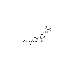 COC(=S)NC[C@H]1CN(c2ccc(NCCO)cc2)C(=O)O1